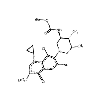 CCOC(=O)c1cn(C2CC2)c2c(Cl)c(N3C[C@@H](C)[C@@H](C)[C@H](NC(=O)OC(C)(C)C)C3)c(N)cc2c1=O